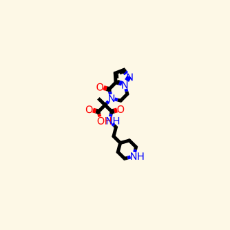 CC(C(=O)O)(C(=O)NCCC1CCNCC1)N1CCn2nccc2C1=O